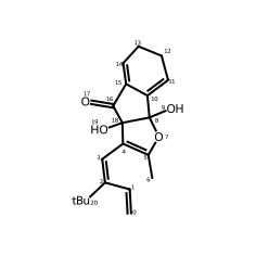 C=C/C(=C\C1=C(C)OC2(O)C3=CCCC=C3C(=O)C12O)C(C)(C)C